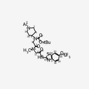 CC(=O)N1CCC(N(CC(=O)N(C)CC(=O)Nc2nc3ccc(OC(F)(F)F)cc3s2)C(=O)OC(C)(C)C)CC1